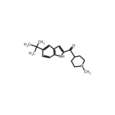 CN1CCC(C(=O)c2cc3cc(C(C)(C)C)ccc3[nH]2)CC1